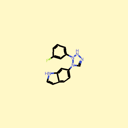 Fc1cccc(N2NN=[C]N2c2ccc3cc[nH]c3c2)c1